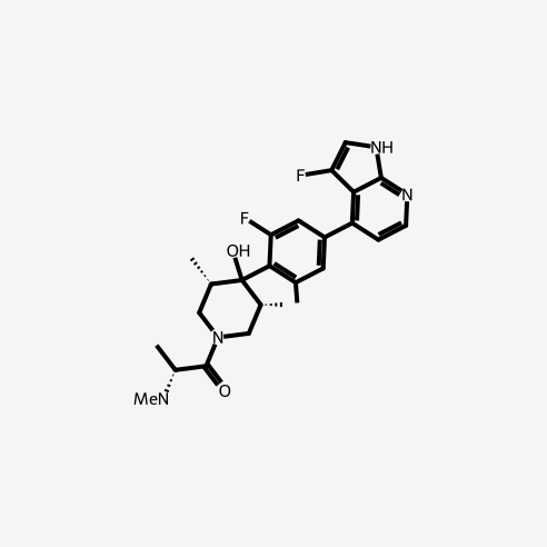 CN[C@H](C)C(=O)N1C[C@@H](C)C(O)(c2c(C)cc(-c3ccnc4[nH]cc(F)c34)cc2F)[C@@H](C)C1